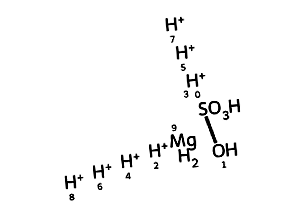 O=S(=O)(O)O.[H+].[H+].[H+].[H+].[H+].[H+].[H+].[MgH2]